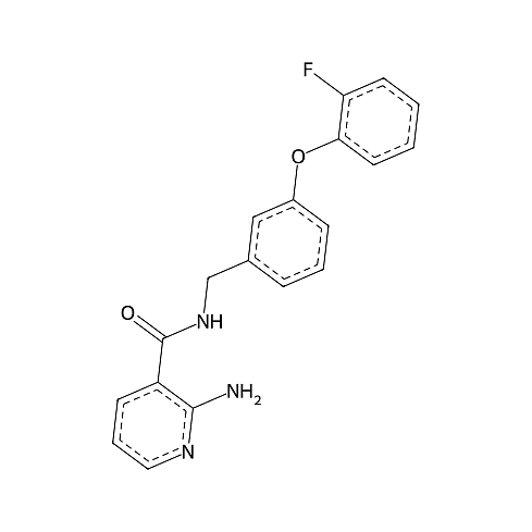 Nc1ncccc1C(=O)NCc1cccc(Oc2ccccc2F)c1